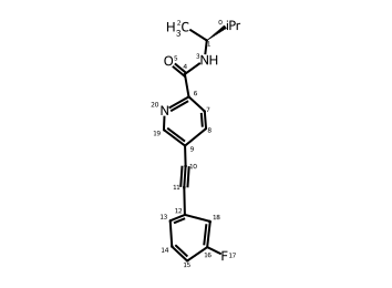 CC(C)[C@H](C)NC(=O)c1ccc(C#Cc2cccc(F)c2)cn1